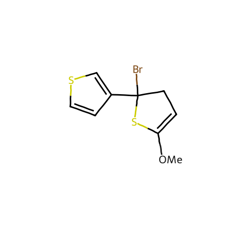 COC1=CCC(Br)(c2ccsc2)S1